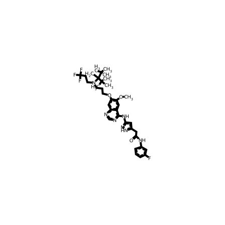 [CH2]C(N(CCCOc1cc2ncnc(Nc3cc(CC(=O)Nc4cccc(F)c4)[nH]n3)c2cc1OC)CCC(F)(F)F)(C(C)(C)C)C(C)(C)C